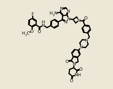 COc1ccc(F)cc1C(=O)NCc1ccc(-c2nn(C3CN(C(=O)c4ccc(CN5CCN(c6ccc7c(c6)CN(C6CCC(=O)NC6=O)C7=O)CC5)cc4)C3)c3ncnc(N)c23)cc1